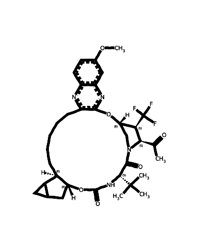 COc1ccc2nc3c(nc2c1)O[C@H]1CN(C(=O)[C@H](C(C)(C)C)NC(=O)O[C@@H]2CC4CC4[C@H]2CCCCC3)[C@H](C(C)=O)[C@@H]1C(F)(F)F